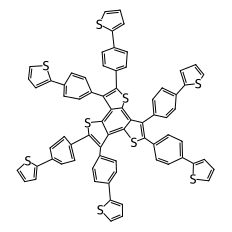 c1csc(-c2ccc(-c3sc4c(c3-c3ccc(-c5cccs5)cc3)c3sc(-c5ccc(-c6cccs6)cc5)c(-c5ccc(-c6cccs6)cc5)c3c3sc(-c5ccc(-c6cccs6)cc5)c(-c5ccc(-c6cccs6)cc5)c43)cc2)c1